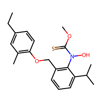 CCc1ccc(OCc2cccc(C(C)C)c2N(O)C(=S)OC)c(C)c1